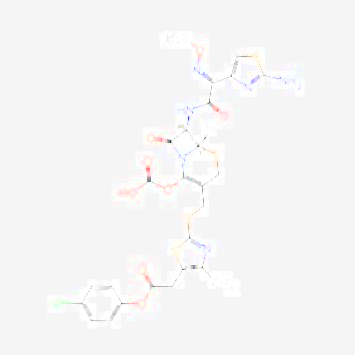 CON=C(C(=O)N[C@@H]1C(=O)N2C(OC(=O)O)=C(CSc3nc(C)c(CC(=O)Oc4ccc(Cl)cc4)s3)CS[C@@H]12)c1csc(N)n1